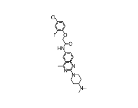 Cc1nc(N2CCC(N(C)C)CC2)nc2ccc(NC(=O)COc3ccc(Cl)cc3F)cc12